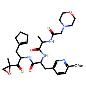 COc1ccc(CC(NC(=O)C(C)NC(=O)CN2CCOCC2)C(=O)NC(CC2=CCCC2)C(=O)C2(C)CO2)cn1